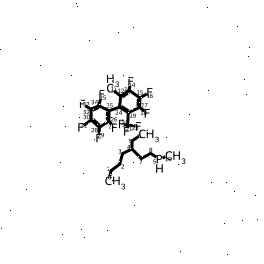 CCCCC(CC)CCPC.Cc1c(F)c(F)c(F)c(C(F)(F)F)c1-c1c(F)c(F)c(F)c(F)c1F